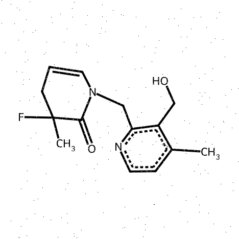 Cc1ccnc(CN2C=CCC(C)(F)C2=O)c1CO